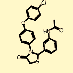 CC(=O)Nc1cccc(C2SCC(=O)N2c2ccc(Oc3ccc(Cl)cc3)cc2)c1